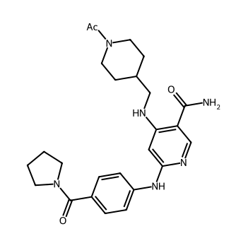 CC(=O)N1CCC(CNc2cc(Nc3ccc(C(=O)N4CCCC4)cc3)ncc2C(N)=O)CC1